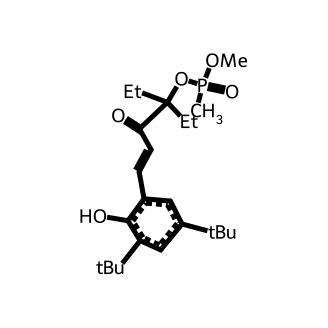 CCC(CC)(OP(C)(=O)OC)C(=O)C=Cc1cc(C(C)(C)C)cc(C(C)(C)C)c1O